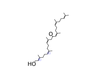 CC(C)=CCCC(C)=CCCC(C)=CC(=O)CC(C)=CCC/C(C)=C\CC/C(C)=C/CO